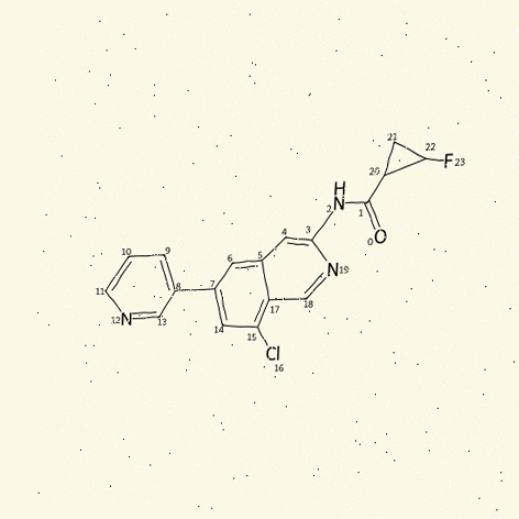 O=C(Nc1cc2cc(-c3cccnc3)cc(Cl)c2cn1)C1CC1F